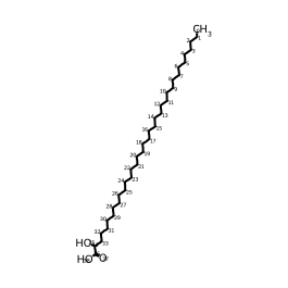 CCCCCCCCCCCCCCCCCCCCCCCCCCCCCCCCCCC(O)C(=O)O